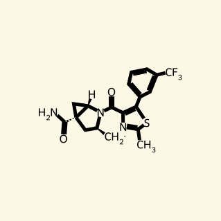 [CH2][C@H]1C[C@@]2(C(N)=O)C[C@@H]2N1C(=O)c1nc(C)sc1-c1cccc(C(F)(F)F)c1